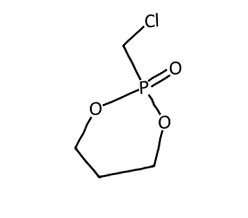 O=P1(CCl)OCCCO1